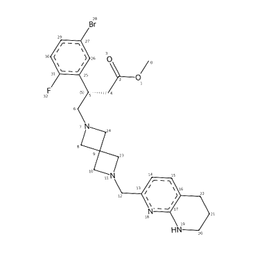 COC(=O)C[C@H](CN1CC2(CN(Cc3ccc4c(n3)NCCC4)C2)C1)c1cc(Br)ccc1F